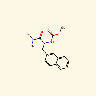 CCN(C#N)C(=O)C(Cc1ccc2ccccc2c1)NC(=O)OC(C)(C)C